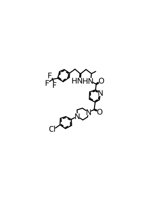 CC(CC(=N)Cc1ccc(C(F)(F)F)cc1)NC(=O)c1ccc(C(=O)N2CCN(c3ccc(Cl)cc3)CC2)cn1